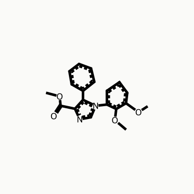 COC(=O)c1ncn(-c2cccc(OC)c2OC)c1-c1ccccc1